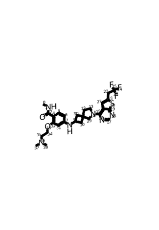 CNC(=O)c1ccc(NC2CC3(CCN(c4ncnc5sc(CC(F)(F)F)cc45)C3)C2)cc1OCCN(C)C